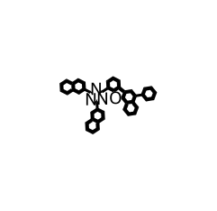 c1ccc(-c2cc3c4cccc(-c5nc(-c6ccc7ccccc7c6)nc(-c6ccc7ccccc7c6)n5)c4oc3c3ccccc23)cc1